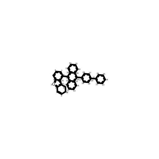 C1=Cc2oc3cccc(-c4c5ccccc5c(-c5ccc(-c6ccccc6)cc5)c5ccccc45)c3c2CC1